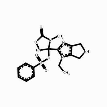 CCn1c(C2(OS(=O)(=O)c3ccccc3)NOC(=O)N2C)nc2c1CNC2